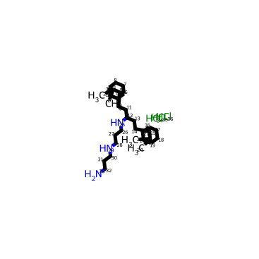 CC1(C)C2CCC(CC2)C1CCC(CCC1C2CCC(CC2)C1(C)C)NCCCNCCCN.Cl.Cl.Cl